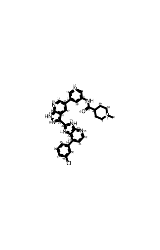 CN1CCC(C(=O)Nc2cncc(-c3cnc4[nH]nc(-c5nc6c(-c7cccc(Cl)c7)ccnc6[nH]5)c4c3)c2)CC1